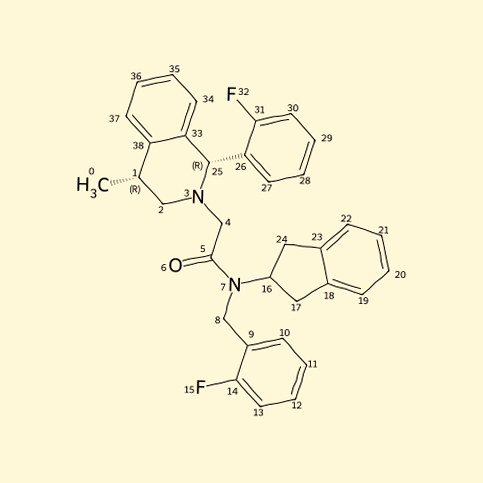 C[C@H]1CN(CC(=O)N(Cc2ccccc2F)C2Cc3ccccc3C2)[C@@H](c2ccccc2F)c2ccccc21